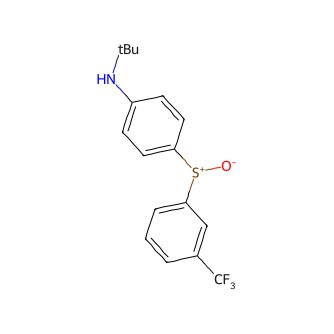 CC(C)(C)Nc1ccc([S+]([O-])c2cccc(C(F)(F)F)c2)cc1